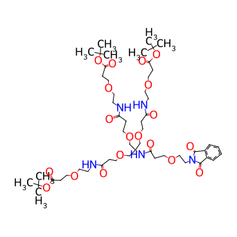 CC(C)(C)OC(=O)CCOCCNC(=O)CCOCC(COCCC(=O)NCCOCCC(=O)OC(C)(C)C)(COCCC(=O)NCCOCCC(=O)OC(C)(C)C)NC(=O)CCOCCN1C(=O)c2ccccc2C1=O